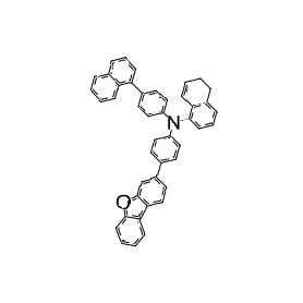 C1=Cc2c(cccc2N(c2ccc(-c3ccc4c(c3)oc3ccccc34)cc2)c2ccc(-c3cccc4ccccc34)cc2)CC1